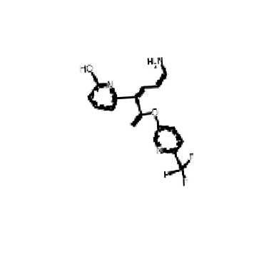 C=C(Oc1ccc(C(F)(F)F)nc1)/C(=C\C=C/N)c1cccc(O)n1